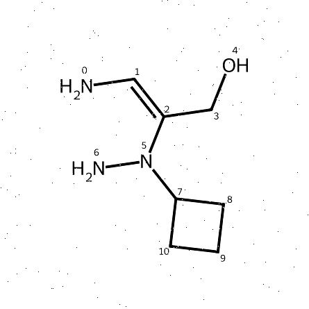 N/C=C(/CO)N(N)C1CCC1